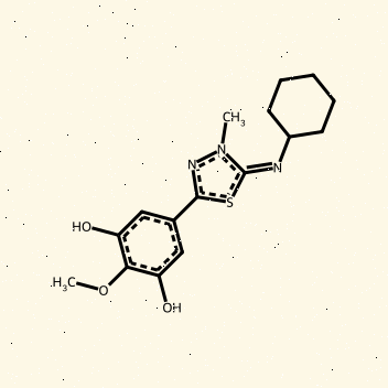 COc1c(O)cc(-c2nn(C)/c(=N\C3CCCCC3)s2)cc1O